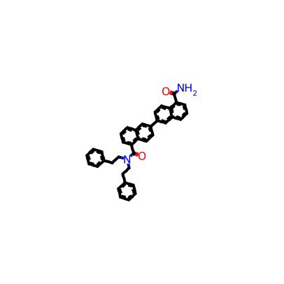 NC(=O)c1cccc2cc(-c3ccc4c(C(=O)N(CCc5ccccc5)CCc5ccccc5)cccc4c3)ccc12